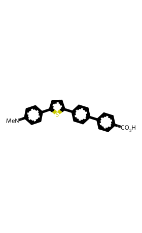 CNc1ccc(-c2ccc(-c3ccc(-c4ccc(C(=O)O)cc4)cc3)s2)cc1